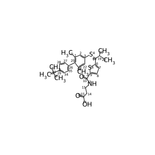 Cc1cc(S[C@@H](c2ccc(C(=O)NCCC(=O)O)s2)C(C)C)cc(C)c1-c1ccc(C(C)(C)C)cc1